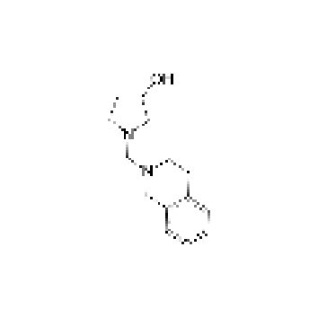 OC1CCN(CN2[CH]c3ccccc3CC2)C1